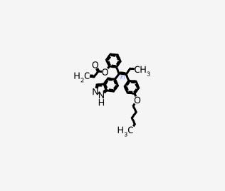 C=CC(=O)Oc1ccccc1/C(=C(\CC)c1ccc(OCCCCC)cc1)c1ccc2[nH]ncc2c1